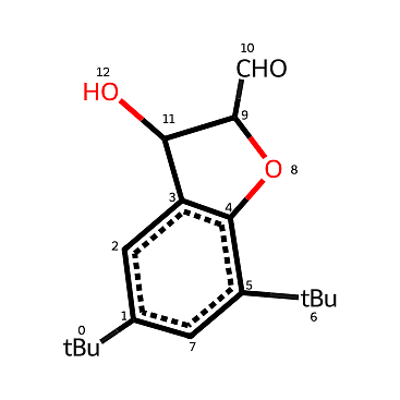 CC(C)(C)c1cc2c(c(C(C)(C)C)c1)OC(C=O)C2O